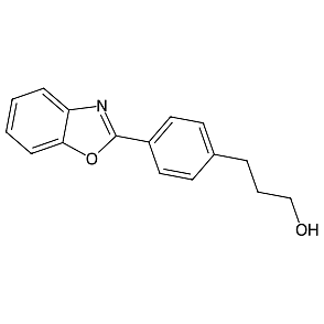 OCCCc1ccc(-c2nc3ccccc3o2)cc1